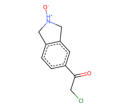 O=C(CCl)c1ccc2c(c1)C[NH+]([O-])C2